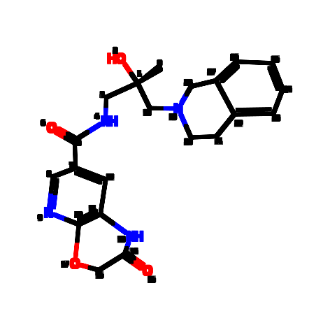 C[C@](O)(CNC(=O)c1cnc2c(c1)NC(=O)CO2)CN1CCc2ccccc2C1